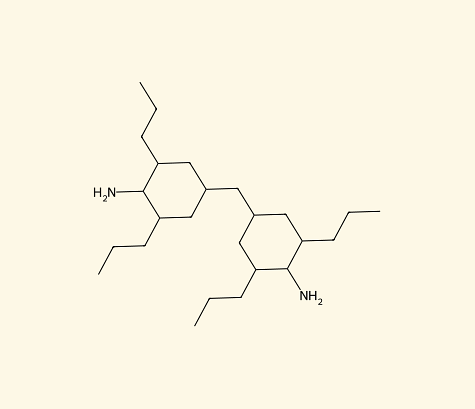 CCCC1CC(CC2CC(CCC)C(N)C(CCC)C2)CC(CCC)C1N